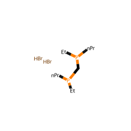 Br.Br.CCCP(CC)CP(CC)CCC